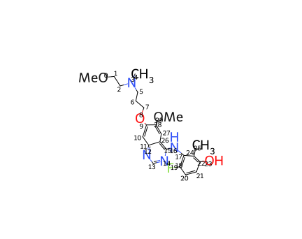 COCCN(C)CCCOc1cc2ncnc(Nc3c(F)ccc(O)c3C)c2cc1OC